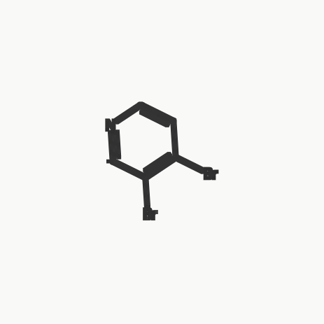 Brc1[c]nccc1Br